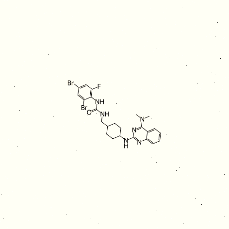 CN(C)c1nc(NC2CCC(CNC(=O)Nc3c(F)cc(Br)cc3Br)CC2)nc2ccccc12